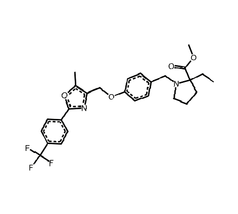 CCC1(C(=O)OC)CCCN1Cc1ccc(OCc2nc(-c3ccc(C(F)(F)F)cc3)oc2C)cc1